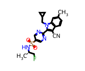 Cc1ccc2c(C#N)c(-c3ncc(S(=O)(=O)N[C@@H](C)CF)cn3)n(CC3CC3)c2c1